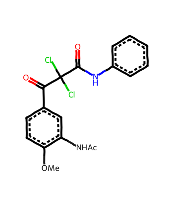 COc1ccc(C(=O)C(Cl)(Cl)C(=O)Nc2ccccc2)cc1NC(C)=O